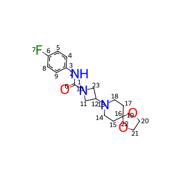 O=C(Nc1ccc(F)cc1)N1CC(N2CCC3(CC2)OCCO3)C1